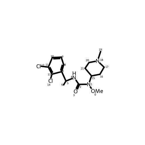 CON(C(=O)NC(C)c1cccc(Cl)c1Cl)C1CCN(C)CC1